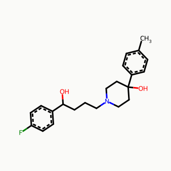 Cc1ccc(C2(O)CCN(CCCC(O)c3ccc(F)cc3)CC2)cc1